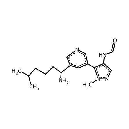 CC(C)CCCC(N)c1cncc(-c2c(NC=O)cnn2C)c1